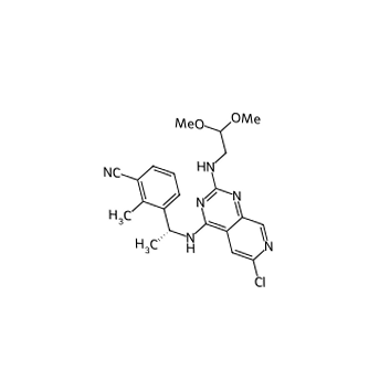 COC(CNc1nc(N[C@H](C)c2cccc(C#N)c2C)c2cc(Cl)ncc2n1)OC